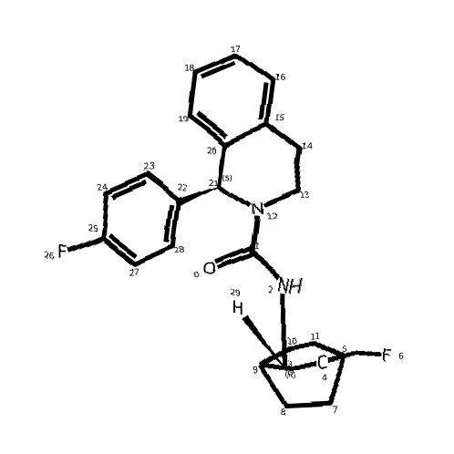 O=C(N[C@@H]1CC2(F)CCC1CC2)N1CCc2ccccc2[C@@H]1c1ccc(F)cc1